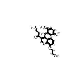 CCCC(=O)c1cnc2c(OCCO)cccc2c1Nc1ccccc1C.Cl